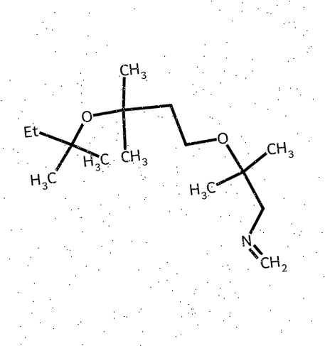 C=NCC(C)(C)OCCC(C)(C)OC(C)(C)CC